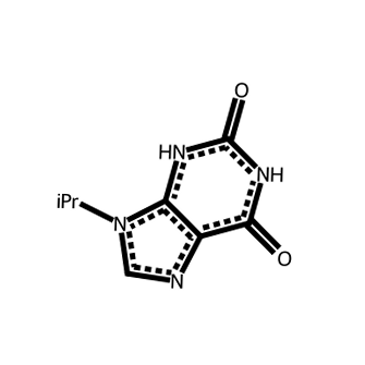 CC(C)n1cnc2c(=O)[nH]c(=O)[nH]c21